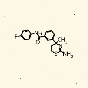 CC1(c2cccc(C(=O)Nc3ccc(F)cc3)c2)CCSC(N)=N1